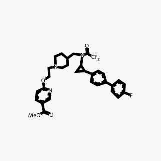 COC(=O)c1ccc(OCCN2CCC(CN(C(=O)C(F)(F)F)C3CC3c3ccc(-c4ccc(F)cc4)cc3)CC2)nc1